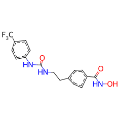 O=C(NCCc1ccc(C(=O)NO)cc1)Nc1ccc(C(F)(F)F)cc1